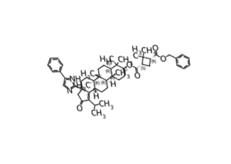 CC(C)C1=C2[C@H]3CC[C@@H]4[C@@]5(C)CC[C@H](OC(=O)[C@H]6C[C@@H](C(=O)OCc7ccccc7)C6(C)C)C(C)(C)[C@@H]5CC[C@@]4(C)[C@]3(C)CC[C@@]2(c2ncc(-c3ccccc3)[nH]2)CC1=O